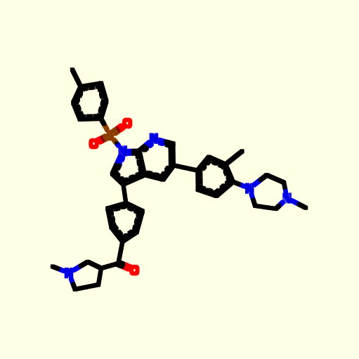 Cc1ccc(S(=O)(=O)n2cc(-c3ccc(C(=O)C4CCN(C)C4)cc3)c3cc(-c4ccc(N5CCN(C)CC5)c(C)c4)cnc32)cc1